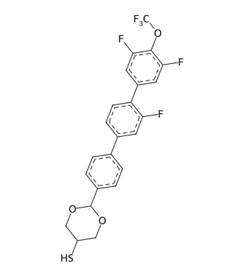 Fc1cc(-c2ccc(C3OCC(S)CO3)cc2)ccc1-c1cc(F)c(OC(F)(F)F)c(F)c1